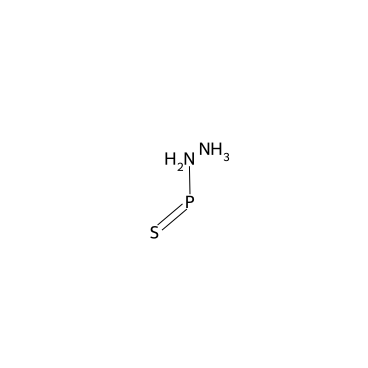 N.NP=S